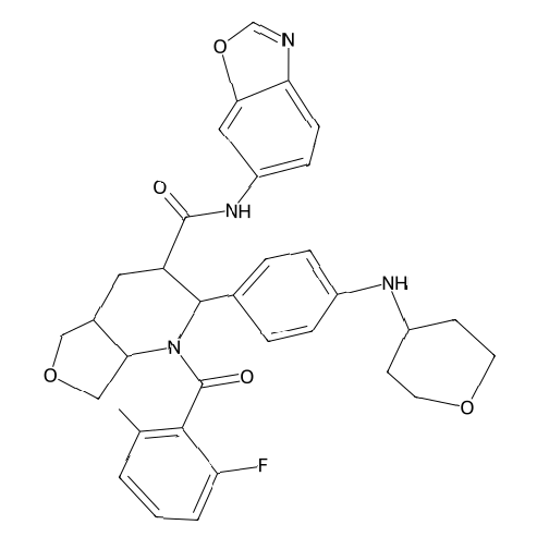 Cc1cccc(F)c1C(=O)N1C2COCC2CC(C(=O)Nc2ccc3ncoc3c2)C1c1ccc(NC2CCOCC2)cc1